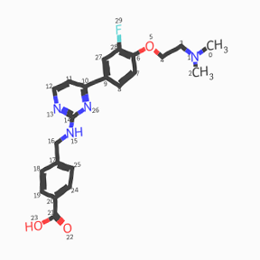 CN(C)CCOc1ccc(-c2ccnc(NCc3ccc(C(=O)O)cc3)n2)cc1F